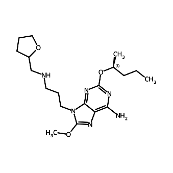 CCC[C@H](C)Oc1nc(N)c2nc(OC)n(CCCNCC3CCCO3)c2n1